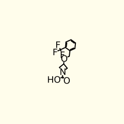 O=C(O)N1CC(OCc2ccccc2C(F)(F)F)C1